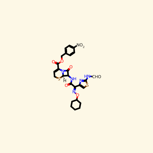 O=CNc1nc(/C(=N\OC2CCCCC2)C(=O)NC2C(=O)N3C(C(=O)OCc4ccc([N+](=O)[O-])cc4)=CCS[C@H]23)cs1